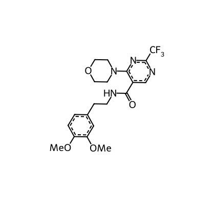 COc1ccc(CCNC(=O)c2cnc(C(F)(F)F)nc2N2CCOCC2)cc1OC